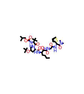 CCCCC(NC(=O)[C@@H]1C[C@@H](OC(C)(C)C)CN1C(=O)[C@@H](NC(=O)OCC(C)C)C(C)(C)C)C(=O)C(=O)NCC(=O)N[C@H](C(=O)N(C)C)c1cccs1